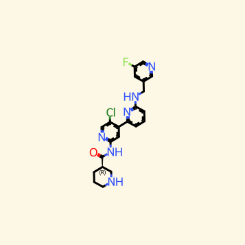 O=C(Nc1cc(-c2cccc(NCc3cncc(F)c3)n2)c(Cl)cn1)[C@@H]1CCCNC1